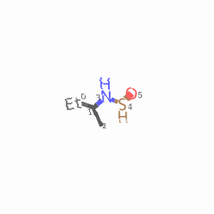 CCC(C)N[SH]=O